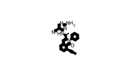 CC#Cc1cccc2cc([C@H](C)Nc3nc(N)ncc3C#N)n(-c3ccccc3)c(=O)c12